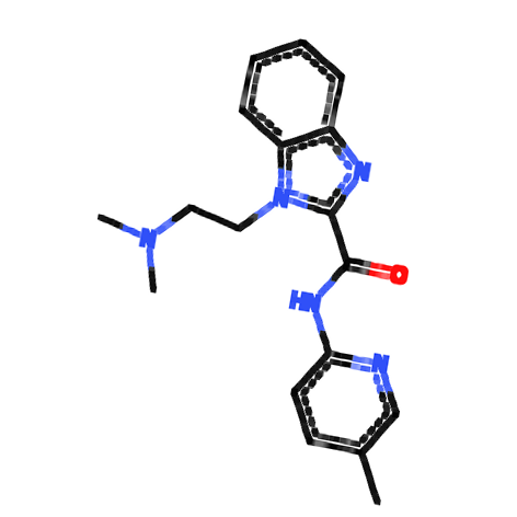 Cc1ccc(NC(=O)c2nc3ccccc3n2CCN(C)C)nc1